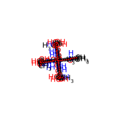 CC(=O)NC1[C@H](OCCCCC(=O)NCCCNC(=O)CCOCC(COCCC(=O)NCCCNC(=O)CCCCO[C@@H]2OC(CO)[C@H](O)[C@H](O)C2NC(C)=O)(COCCC(=O)NCCCNC(=O)CCCCO[C@@H]2OC(CO)[C@H](O)[C@H](O)C2NC(C)=O)NC(=O)CCCCCCCCCCC(=O)NCCCCCCC(C)(C)C)OC(CO)[C@H](O)[C@@H]1O